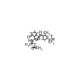 Cc1cc(C(C(F)F)C(F)(F)F)ccc1NC(=O)c1cccc(Cl)c1C(=O)N[C@@H](C)C[S+](C)[O-]